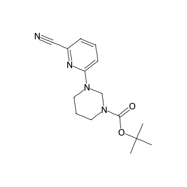 CC(C)(C)OC(=O)N1CCCN(c2cccc(C#N)n2)C1